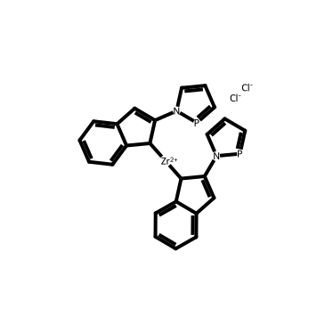 C1=C(n2cccp2)[CH]([Zr+2][CH]2C(n3cccp3)=Cc3ccccc32)c2ccccc21.[Cl-].[Cl-]